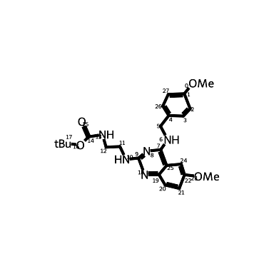 COc1ccc(CNc2nc(NCCNC(=O)OC(C)(C)C)nc3ccc(OC)cc23)cc1